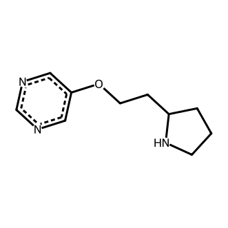 c1ncc(OCCC2CCCN2)cn1